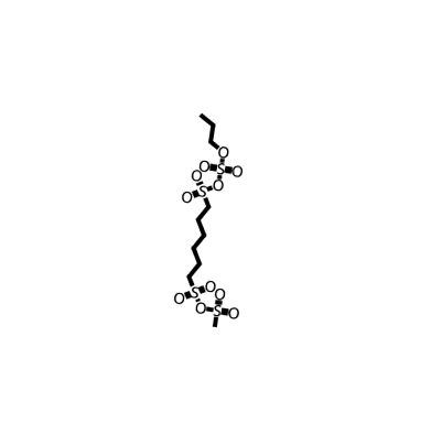 CCCOS(=O)(=O)OS(=O)(=O)CCCCCCS(=O)(=O)OS(C)(=O)=O